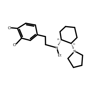 CCN(CCc1ccc(Cl)c(Cl)c1)[C@@H]1CCCC[C@@H]1N1CCCC1